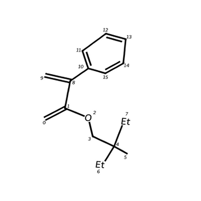 C=C(OCC(C)(CC)CC)C(=C)c1ccccc1